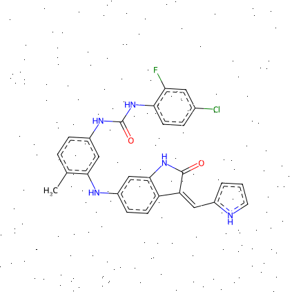 Cc1ccc(NC(=O)Nc2ccc(Cl)cc2F)cc1Nc1ccc2c(c1)NC(=O)/C2=C\c1ccc[nH]1